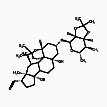 C[C@@H]1[C@H]2OC(C)(C)O[C@H]2[C@H](O[C@H]2C[C@H]3OC(C)(C)OC[C@]34C3C(CC[C@]4(O)C2)[C@@]2(O)CC[C@H](C=O)[C@@]2(C)C[C@H]3C)O[C@H]1C